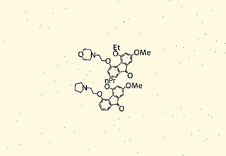 CCCOc1cc(OC)cc2c1-c1c(OCCN3CCCC3)cccc1C2=O.CCOc1cc(OC)cc2c1-c1c(OCCN3CCOCC3)cccc1C2=O